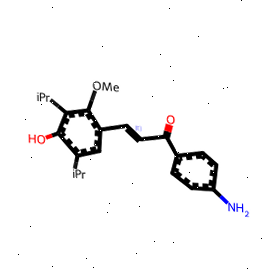 COc1c(/C=C/C(=O)c2ccc(N)cc2)cc(C(C)C)c(O)c1C(C)C